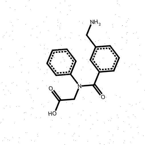 NCc1cccc(C(=O)N(CC(=O)O)c2ccccc2)c1